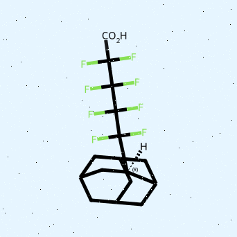 O=C(O)C(F)(F)C(F)(F)C(F)(F)C(F)(F)[C@@H]1CC2CC3CC(C2)CC1C3